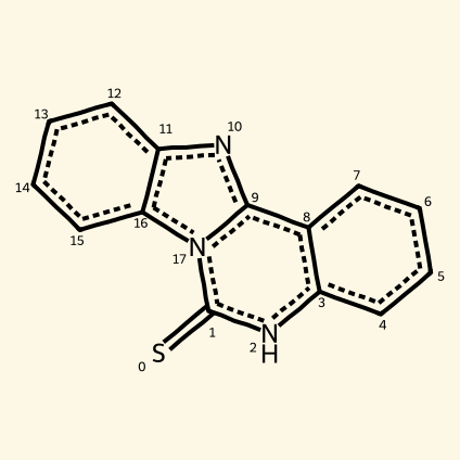 S=c1[nH]c2ccccc2c2nc3ccccc3n12